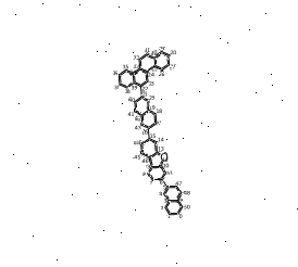 c1ccc2cc(-c3ccc4c(c3)oc3cc(-c5ccc6cc(-c7cc8c9ccccc9ccc8c8ccccc78)ccc6c5)ccc34)ccc2c1